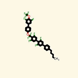 CCCCCc1ccc(-c2cc(F)c(-c3cc(F)c(C(F)(F)Oc4ccc(-c5cc(F)c(OC(F)(F)F)c(F)c5)cc4)c(F)c3)c(F)c2)cc1